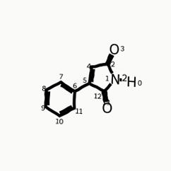 [2H]N1C(=O)C=C(c2ccccc2)C1=O